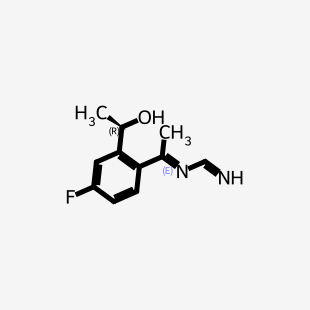 C/C(=N\C=N)c1ccc(F)cc1[C@@H](C)O